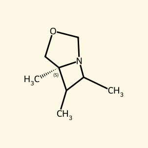 CC1C(C)[C@@]2(C)COCN12